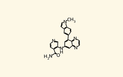 Cn1ccc2cc(-c3cc(Nc4cnccc4C(N)=O)cc4nccnc34)ccc21